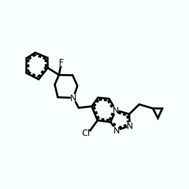 FC1(c2ccccc2)CCN(Cc2ccn3c(CC4CC4)nnc3c2Cl)CC1